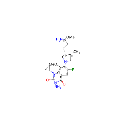 COc1c(N2C[C@H](CC[C@@H](N)OC)[C@H](C)C2)c(F)cc2c(=O)n(N)c(=O)n(C3CC3)c12